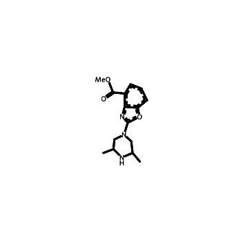 COC(=O)c1cccc2oc(N3CC(C)NC(C)C3)nc12